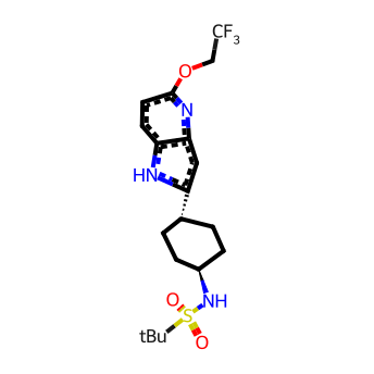 CC(C)(C)S(=O)(=O)N[C@H]1CC[C@H](c2cc3nc(OCC(F)(F)F)ccc3[nH]2)CC1